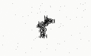 CNc1cc2ccn(-c3ccc(NC(=O)NS(=O)(=O)c4ccc(Cl)s4)cc3CN(C)C)c(=O)c2cc1F